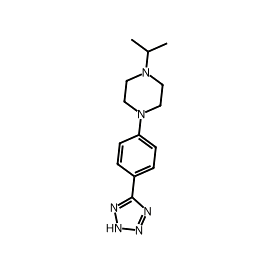 CC(C)N1CCN(c2ccc(-c3nn[nH]n3)cc2)CC1